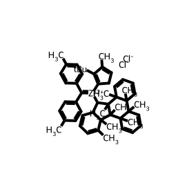 CC1=CC[C]([Zr+2](=[C](c2ccc(C)cc2)c2ccc(C)cc2)[CH]2C3C=CC=C(C)C3(C)C3(C)C4(C)C=CC=CC4(C)C4(C)C=CC=CC4(C)C23C)=C1C(C)(C)C.[Cl-].[Cl-]